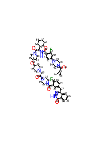 O=C(N[C@@H](C(=O)N1CCC(OC2CCN(CC(=O)N3CCN(C(=O)c4cc(Cc5n[nH]c(=O)c6ccccc56)ccc4F)CC3)CC2)CC1)C1CCCCC1)c1ccc(N2CCN(C(=O)C3CC3)CC2)cc1F